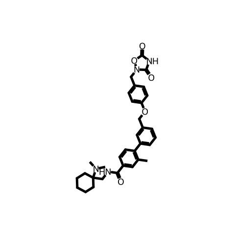 Cc1cc(C(=O)NCC2(N(C)C)CCCCC2)ccc1-c1cccc(COc2ccc(Cn3oc(=O)[nH]c3=O)cc2)c1